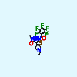 CCNC(=O)c1c(NC(=O)c2c(F)c(F)c(F)c(F)c2F)sc2c1CCN(CC)C2